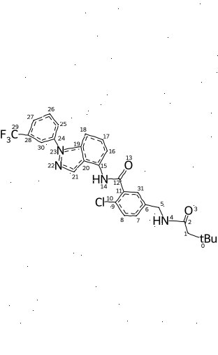 CC(C)(C)CC(=O)NCc1ccc(Cl)c(C(=O)Nc2cccc3c2cnn3-c2cccc(C(F)(F)F)c2)c1